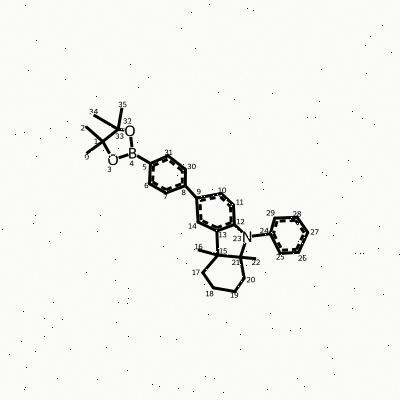 CC1(C)OB(c2ccc(-c3ccc4c(c3)C3(C)CCCCC3(C)N4c3ccccc3)cc2)OC1(C)C